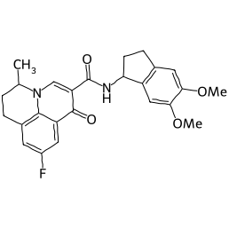 COc1cc2c(cc1OC)C(NC(=O)c1cn3c4c(cc(F)cc4c1=O)CCC3C)CC2